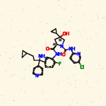 NC(CCC1CC1)(c1ccncc1)c1ccc(F)c(NC(=O)[C@H]2C[C@](O)(C3CC3)CN2C(=O)Nc2ccc(Cl)cn2)c1